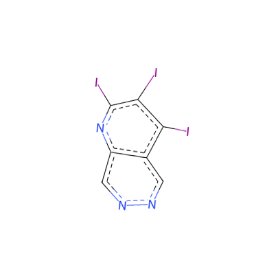 Ic1nc2cnncc2c(I)c1I